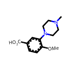 COc1ccc(C(=O)O)cc1N1CCN(C)CC1